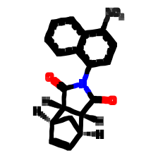 O=C1[C@@H]2[C@H](C(=O)N1c1ccc([N+](=O)[O-])c3ccccc13)[C@H]1C=C[C@@H]2C1